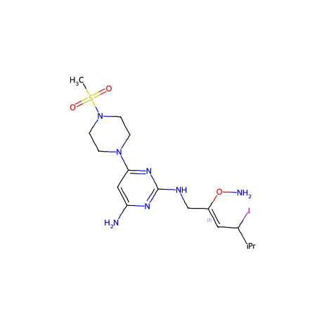 CC(C)C(I)/C=C(/CNc1nc(N)cc(N2CCN(S(C)(=O)=O)CC2)n1)ON